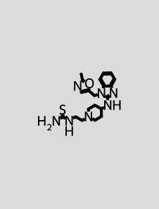 Cc1ncc(Cn2c(NC3CCN(CCNC(N)=S)CC3)nc3ccccc32)o1